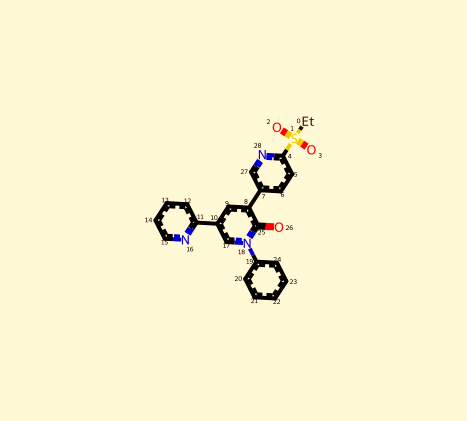 CCS(=O)(=O)c1ccc(-c2cc(-c3ccccn3)cn(-c3ccccc3)c2=O)cn1